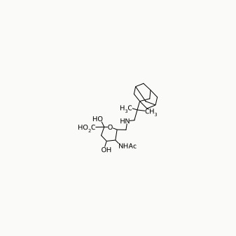 CC(=O)NC1C(O)CC(O)(C(=O)O)OC1CNCC(C)(C)C12CC3CC(CC(C3)C1)C2